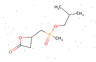 CC(C)COP(C)(=O)CC1CC(=O)O1